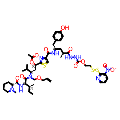 C=CCOCN(C(=O)[C@@H](NC(=O)[C@H]1CCCCN1C)[C@@H](C)CC)[C@H](C[C@@H](OC(C)=O)c1nc(C(=O)N[C@@H](Cc2ccc(O)cc2)C[C@H](C)C(=O)NNC(=O)OCCSSc2ncccc2[N+](=O)[O-])cs1)C(C)C